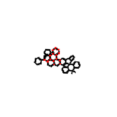 CC1(C)c2ccccc2C2(c3ccccc3-c3cc(N(c4ccccc4-c4ccccc4-c4ccccc4-c4ccccc4)c4cccc5c4c4ccccc4n5-c4ccccc4)ccc32)c2ccccc21